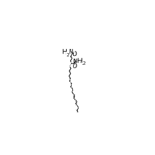 CCCCCCCCCCCCCCCCCCC(CCCC(N)=O)C(N)=O